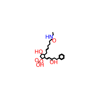 CCNC(=O)CCCC=CCC1C(O)CC(OC(=O)O)C1C=C[C@@H](O)CCc1ccccc1